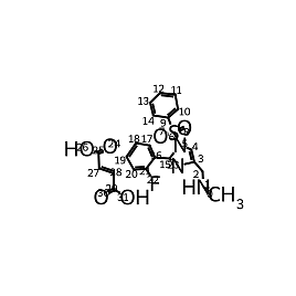 CNCc1cn(S(=O)(=O)c2ccccc2)c(-c2ccccc2F)n1.O=C(O)C=CC(=O)O